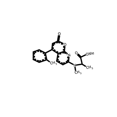 COC(=O)C(C)N(C)c1ccc2c(-c3ccccc3C)cc(=O)oc2n1